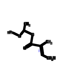 CCCOC(C)OC(=O)/C(C)=C/C(=O)O